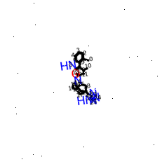 Cc1cccc2[nH]cc(C(C)CC(=O)N3C4CC5CC3CC(c3nnn[nH]3)(C5)C4)c12